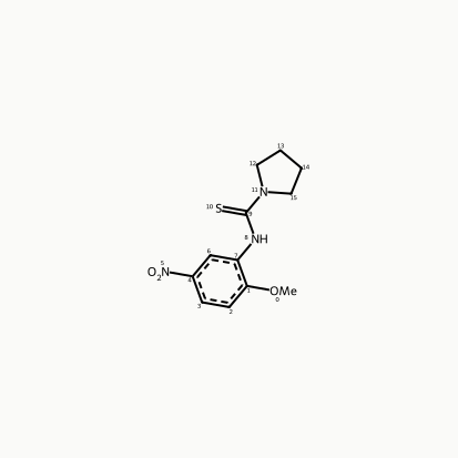 COc1ccc([N+](=O)[O-])cc1NC(=S)N1CCCC1